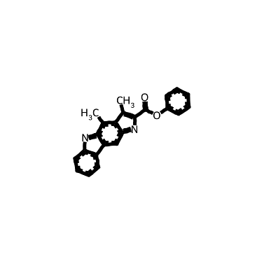 CC1=C(C(=O)Oc2ccccc2)N=c2cc3c(c(C)c21)=Nc1ccccc1-3